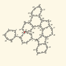 c1ccc(-c2ccc(-n3c4ccccc4c4ccc5sc6c7ccccc7c7ccccc7c6c5c43)cc2)cc1